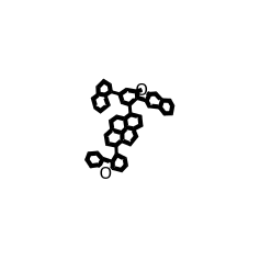 c1ccc2cc3c(cc2c1)oc1cc(-c2cccc4ccccc24)cc(-c2ccc4ccc5c(-c6cccc7oc8ccccc8c67)ccc6ccc2c4c65)c13